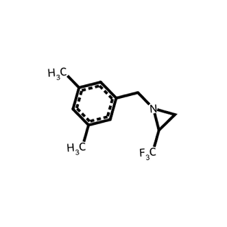 Cc1cc(C)cc(CN2CC2C(F)(F)F)c1